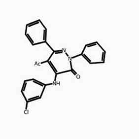 CC(=O)c1c(-c2ccccc2)nn(-c2ccccc2)c(=O)c1Nc1cccc(Cl)c1